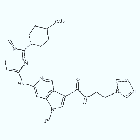 C=N/C(=N\C(=C/C)Nc1cc2c(cn1)c(C(=O)NCCn1ccnc1)cn2C(C)C)N1CCC(OC)CC1